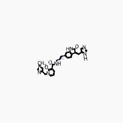 Cn1cnc(Cn2cccc(C(=O)NC/C=C/c3ccc4c(c3)NC(=O)C4=Cc3cnc[nH]3)c2=O)c1